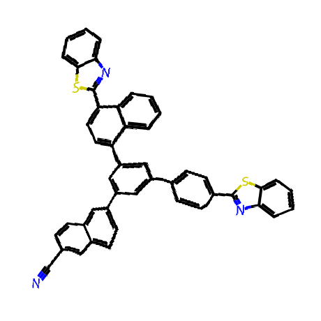 N#Cc1ccc2cc(-c3cc(-c4ccc(-c5nc6ccccc6s5)cc4)cc(-c4ccc(-c5nc6ccccc6s5)c5ccccc45)c3)ccc2c1